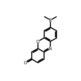 CB(C)c1ccc2nc3ccc(=O)cc-3oc2c1